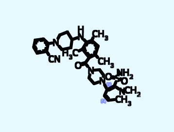 C=N/C(=C(\C=C/C)N1CCN(C(=O)c2c(C)cc(C)c(NC3CCN(c4ccccc4C#N)CC3)c2C)CC1)S(N)(=O)=O